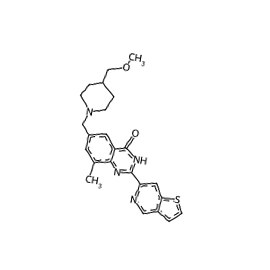 COCC1CCN(Cc2cc(C)c3nc(-c4cc5sccc5cn4)[nH]c(=O)c3c2)CC1